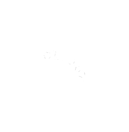 O=C(NCCCNc1nsc2ccccc12)c1cc2cc(Cl)ccc2o1